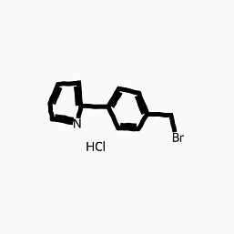 BrCc1ccc(-c2ccccn2)cc1.Cl